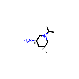 CC(C)N1C[C@H](C)C[C@@H](N)C1